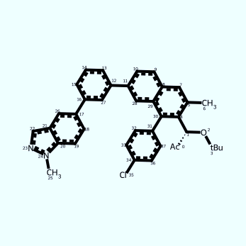 CC(=O)[C@@H](OC(C)(C)C)c1c(C)cc2ccc(-c3cccc(-c4ccc5c(cnn5C)c4)c3)cc2c1-c1ccc(Cl)cc1